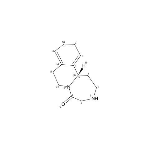 O=C1CNCC[C@H]2c3ccccc3CCN12